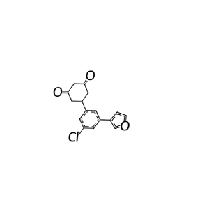 O=C1CC(=O)CC(c2cc(Cl)cc(-c3ccoc3)c2)C1